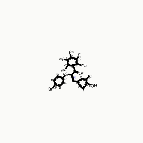 O=C(/C(=C\c1ccc(O)c(Br)c1)Sc1ccc(Br)cc1)c1c(F)c(F)c(F)c(F)c1F